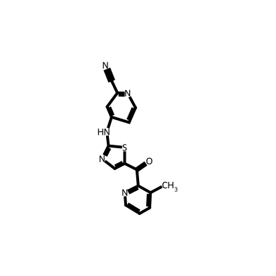 Cc1cccnc1C(=O)c1cnc(Nc2ccnc(C#N)c2)s1